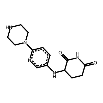 O=C1CCC(Nc2ccc(N3CCNCC3)nc2)C(=O)N1